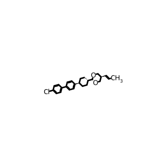 CC=C[C@H]1CO[C@H]([C@H]2CC[C@H](c3ccc(-c4ccc(Cl)cc4)cc3)CC2)OC1